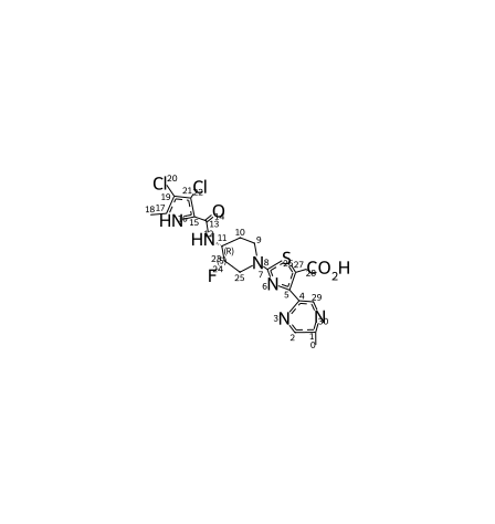 Cc1cnc(-c2nc(N3CC[C@@H](NC(=O)c4[nH]c(C)c(Cl)c4Cl)[C@@H](F)C3)sc2C(=O)O)cn1